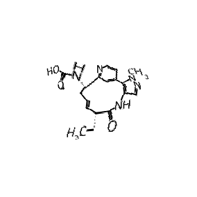 CC[C@@H]1/C=C/C[C@H](NC(=O)O)c2cc(ccn2)-c2c(cnn2C)NC1=O